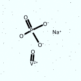 O=P([O-])([O-])[O-].[Na+].[O]=[V+2]